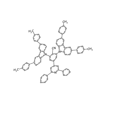 Cc1ccc(-c2ccc3c(c2)c2cc(-c4ccc(C)cc4)ccc2n3-c2cc(-c3cc(-c4ccccc4)nc(-c4ccccc4)c3)cc(-n3c4ccc(-c5ccc(C)cc5)cc4c4cc(-c5ccc(C)cc5)ccc43)c2C#N)cc1